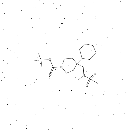 CN(CC1(C2CCCCC2)CCN(C(=O)OC(C)(C)C)CC1)S(C)(=O)=O